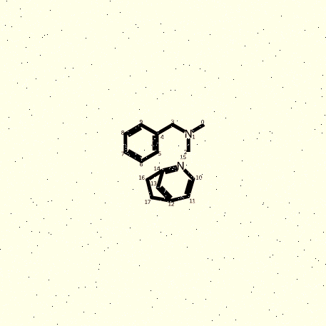 CN(C)Cc1ccccc1.c1cc2cc(n1)CC2